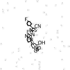 CCc1nc2ccc(N3CCN(S(C)(=O)=O)C(CO)C3)nn2c1N(C)c1nc(-c2ccc(F)cc2)c(C#N)s1